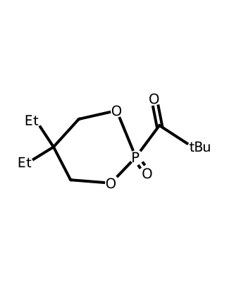 CCC1(CC)COP(=O)(C(=O)C(C)(C)C)OC1